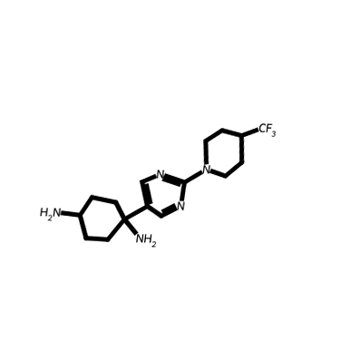 NC1CCC(N)(c2cnc(N3CCC(C(F)(F)F)CC3)nc2)CC1